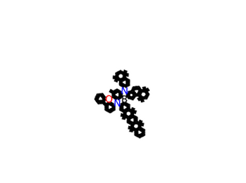 Cc1cc2c3c(c1)N(c1cccc4c1oc1ccccc14)c1cc4c(cc1B3C1=C(c3ccc5c(c3C1)C(C)(C)CCC5(C)C)N2c1ccc2c(c1)C(C)(C)CCC2(C)C)C(C)(C)c1cc2c(cc1C4(C)C)C(C)(C)c1ccccc1C2(C)C